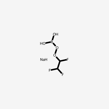 OB(O)OOC(F)C(F)F.[NaH]